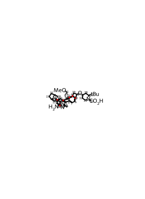 COCOc1ccccc1-c1cc(N2CC3CCC(C2)N3c2ccnc(C#CC3CC(OC4CCN(C(=O)O)C(C(C)(C)C)C4)C3)c2)c(N)nn1